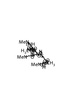 CNCCCCCC(=O)NCCCN(CCCNC(=O)[C@H](CCCCNC(=O)CNC)NC(=O)CN(C)C)C(=O)c1cnccc1SSCCCCCC(=O)N(C)[C@@H](CC(C)=O)C(=O)NCCCNC